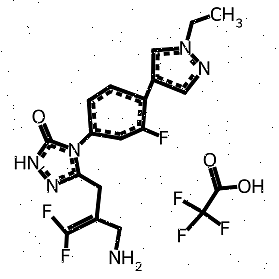 CCn1cc(-c2ccc(-n3c(CC(CN)=C(F)F)n[nH]c3=O)cc2F)cn1.O=C(O)C(F)(F)F